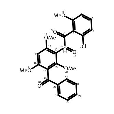 COc1cccc(Cl)c1C(=O)[PH](=O)c1c(OC)cc(OC)c(C(=O)c2ccccc2)c1OC